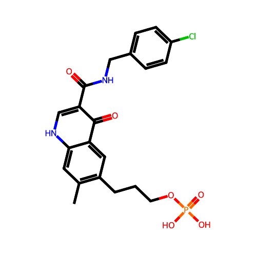 Cc1cc2[nH]cc(C(=O)NCc3ccc(Cl)cc3)c(=O)c2cc1CCCOP(=O)(O)O